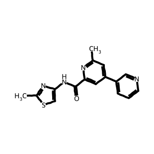 Cc1cc(-c2cccnc2)cc(C(=O)Nc2csc(C)n2)n1